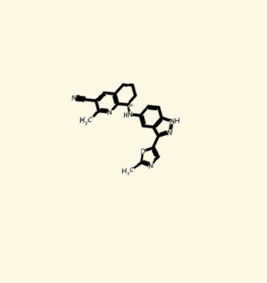 Cc1ncc(-c2n[nH]c3ccc(N[C@@H]4CCCc5cc(C#N)c(C)nc54)cc23)o1